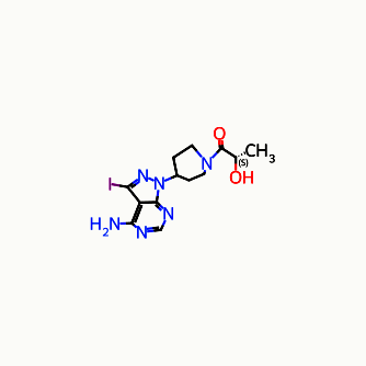 C[C@H](O)C(=O)N1CCC(n2nc(I)c3c(N)ncnc32)CC1